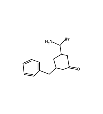 CC(C)C(N)C1CC(=O)CC(Cc2ccccc2)C1